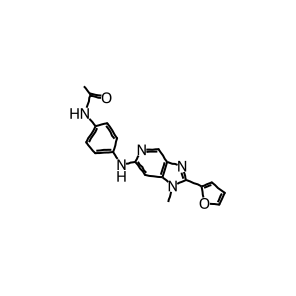 CC(=O)Nc1ccc(Nc2cc3c(cn2)nc(-c2ccco2)n3C)cc1